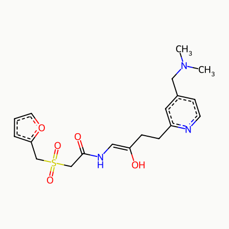 CN(C)Cc1ccnc(CCC(O)=CNC(=O)CS(=O)(=O)Cc2ccco2)c1